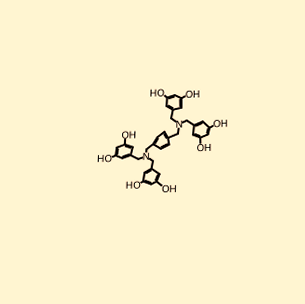 Oc1cc(O)cc(CN(Cc2ccc(CN(Cc3cc(O)cc(O)c3)Cc3cc(O)cc(O)c3)cc2)Cc2cc(O)cc(O)c2)c1